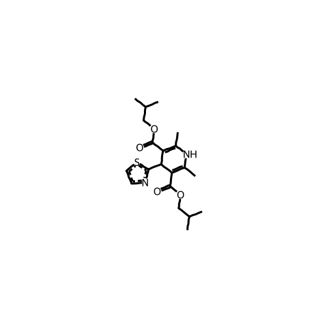 CC1=C(C(=O)OCC(C)C)C(c2nccs2)C(C(=O)OCC(C)C)=C(C)N1